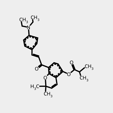 CCN(CC)c1ccc(/C=C/C(=O)c2ccc(OC(=O)C(C)C)c3c2OC(C)(C)C=C3)cc1